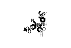 CCN1Cc2cc(Nc3nn(C4(CC#N)CCN(C(=O)OC(C)(C)C)CC4)c4cc[nH]c(=O)c34)ccc2[S+]1[O-]